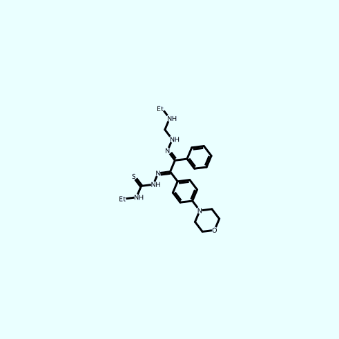 CCNCN/N=C(/C(=N/NC(=S)NCC)c1ccc(N2CCOCC2)cc1)c1ccccc1